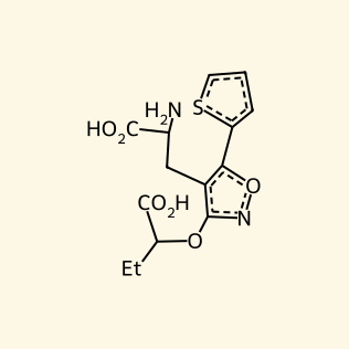 CCC(Oc1noc(-c2cccs2)c1CC(N)C(=O)O)C(=O)O